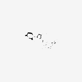 O=c1ccn([C@H]2C[C@@H](O)[C@H](CO[P@@](=O)(O)O[P@](=O)(O)OP(=O)(O)O)O2)c(=O)[nH]1